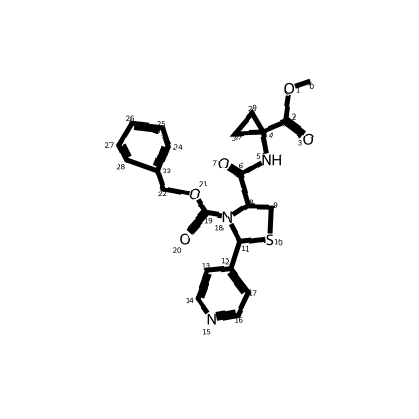 COC(=O)C1(NC(=O)C2CSC(c3ccncc3)N2C(=O)OCc2ccccc2)CC1